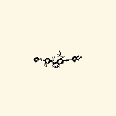 C=CC(=O)Nc1cc2c(Nc3ccc(OCc4ccccn4)c(Cl)c3)ncnc2cc1C#CC1CC2(C1)CN(C)C2